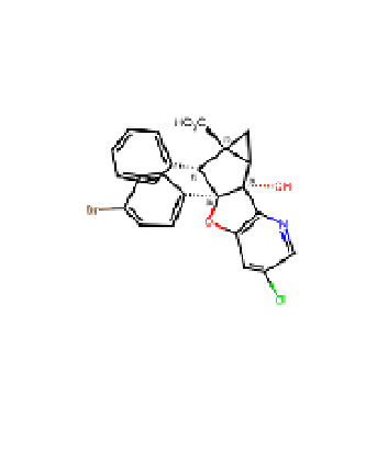 O=C(O)[C@@]12CC1[C@@]1(O)c3ncc(Cl)cc3O[C@@]1(c1ccc(Br)cc1)[C@@H]2c1ccccc1